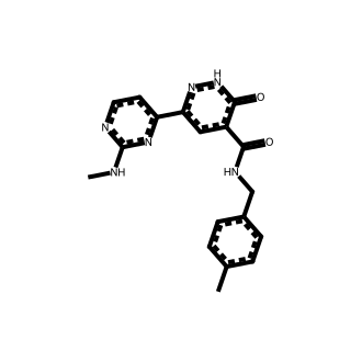 CNc1nccc(-c2cc(C(=O)NCc3ccc(C)cc3)c(=O)[nH]n2)n1